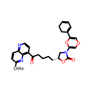 COc1ccc2nccc(C(=O)CCCC[C@@H]3CN(C4=COC=C(C5=CC=CCC5)O4)C(=O)O3)c2n1